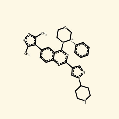 Cc1noc(C)c1-c1ccc2nc(-c3cnn(C4CCNCC4)c3)nc(N3CCOC[C@@H]3c3ccccc3)c2c1